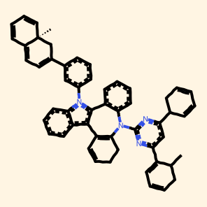 CC1CC=CC=C1c1cc(C2C=CC=CC2)nc(N2C3=C(C=CCC3)c3c(n(-c4cccc(C5=CC=C6C=CC=C[C@@]6(C)C5)c4)c4ccccc34)-c3ccccc32)n1